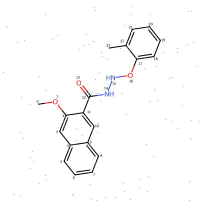 COc1cc2ccccc2cc1C(=O)NNOc1ccccc1C